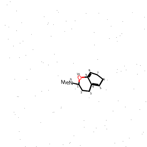 CNC1CCC2=CCCC=C2O1